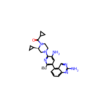 CCC(C)c1nc(N2CCN(C(=O)C3CC3)[C@H](C3CC3)C2)c(N)cc1-c1cccc2nc(N)ncc12